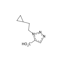 O=C(O)c1cnnn1CCC1CC1